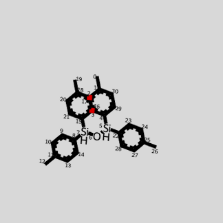 Cc1ccc([SiH](O[SiH](c2ccc(C)cc2)c2ccc(C)cc2)c2ccc(C)cc2)cc1